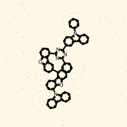 c1ccc(-c2nc(-c3ccc4c(c3)c3ccccc3n4-c3ccccc3)nc(-c3cccc4oc5ccc(-c6cccc7oc8c(-n9c%10ccccc%10c%10ccccc%109)cccc8c67)cc5c34)n2)cc1